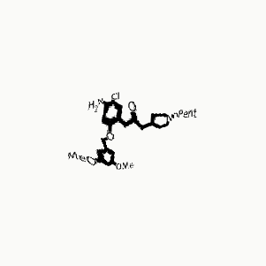 CCCCCN1CCC(CC(=O)Cc2cc(Cl)c(N)cc2OCc2cc(OC)cc(OC)c2)CC1